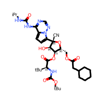 CC(C)NC(=O)Nc1ncnn2c([C@]3(C#N)O[C@H](COC(=O)CC4CCCCC4)[C@@H](OC(=O)[C@@H](NC(=O)OC(C)(C)C)C(C)(C)C)[C@H]3O)ccc12